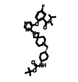 CC(C)N(C)C(=O)c1cc(F)ccc1Oc1cncnc1N1CC2(CCN(C[C@H]3CC[C@H](NC(=O)OC(C)(C)C)CC3)CC2)C1